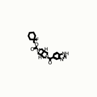 O=C(OCC1(F)CCCCC1)N1C[C@@H]2CN(C(=O)c3ccc4[nH]nnc4c3)C[C@@H]2C1